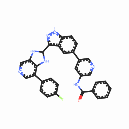 O=C(Nc1cncc(-c2ccc3[nH]nc(C4Nc5cncc(-c6ccc(F)cc6)c5N4)c3c2)c1)c1ccccc1